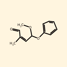 COC(C=C(C)C=O)Oc1ccccc1